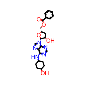 O=C(OC[C@@H]1C[C@@H](O)[C@H](n2cnc3c(NC4CCC(O)CC4)ncnc32)O1)c1ccccc1